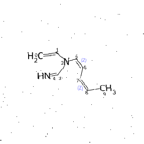 C=CN(C=N)/C=C\C=C/C